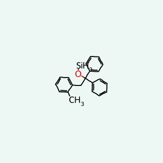 Cc1ccccc1CC(O[SiH3])(c1ccccc1)c1ccccc1